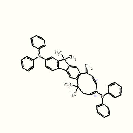 C=C1/C=C\C(N(c2ccccc2)c2ccccc2)=C/CC(C)(C)c2cc3c(cc21)C(C)(C)c1cc(N(c2ccccc2)c2ccccc2)ccc1-3